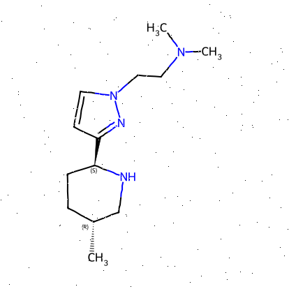 C[C@@H]1CC[C@@H](c2ccn(CCN(C)C)n2)NC1